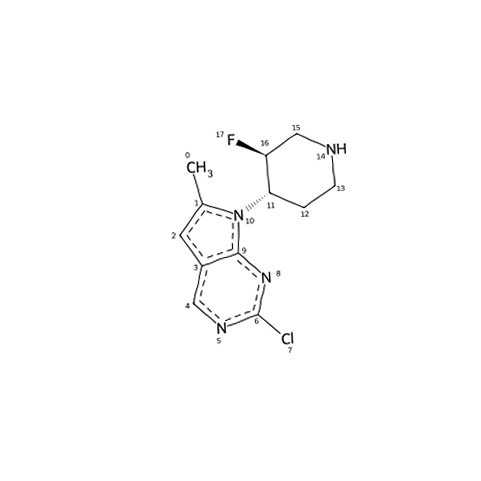 Cc1cc2cnc(Cl)nc2n1[C@H]1CCNC[C@@H]1F